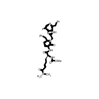 COC(=O)N[C@@H](CC/C=C/C(=O)N(C)C)C(=O)Nc1ccc(CC(C)C)n(Cc2nc3c(F)cnc(CC(C)C)c3[nH]2)c1=O